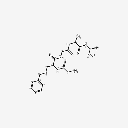 CC(C)[C@H](NC(=O)[C@H](C)NC(=O)CNC(=O)[C@H](COCc1ccccc1)NC(=O)CN)C(=O)O